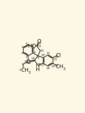 CCOc1ccccc1C1(CC(=O)O)C(=O)Nc2cc(C)c(Cl)cc21